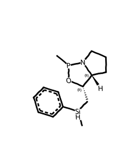 C[SiH](C[C@@H]1OP(C)N2CCC[C@H]12)c1ccccc1